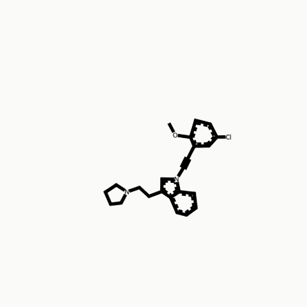 COc1ccc(Cl)cc1C#Cn1cc(CCN2CCCC2)c2ccccc21